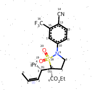 C/C=C\[C@H](C(C)C)[C@]1(C(=O)OCC)CCN(c2ccc(C#N)c(C(F)(F)F)c2)S1(=O)=O